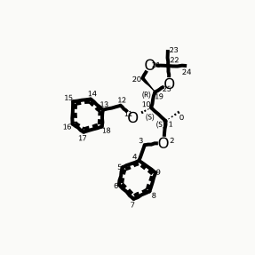 C[C@H](OCc1ccccc1)[C@H](OCc1ccccc1)[C@H]1COC(C)(C)O1